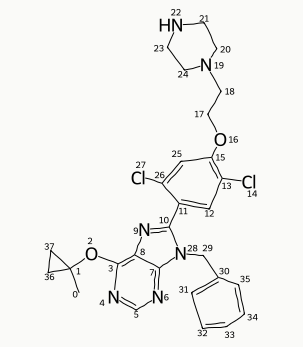 CC1(Oc2ncnc3c2nc(-c2cc(Cl)c(OCCN4CCNCC4)cc2Cl)n3Cc2ccccc2)CC1